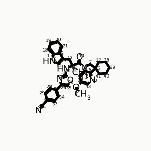 COc1ccc(C2(CNC(=O)[C@](C)(Cc3c[nH]c4ccccc34)Nc3nc(-c4ccc(C#N)cc4)co3)CCCCC2)nc1